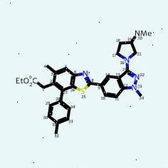 CCOC(=O)Cc1c(C)cc2nc(-c3ccc4c(c3)c(N3CCC(NC)C3)nn4C)sc2c1-c1ccc(C)cc1